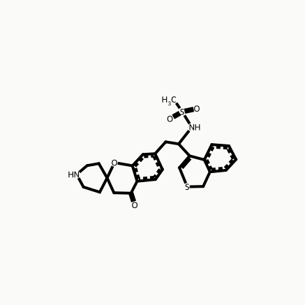 CS(=O)(=O)NC(Cc1ccc2c(c1)OC1(CCNCC1)CC2=O)C1=CSCc2ccccc21